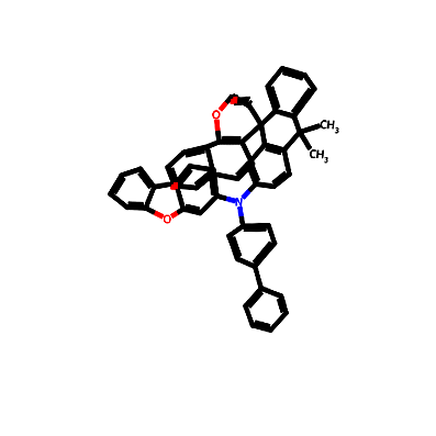 CC1(C)c2ccccc2C2(c3ccccc3Oc3c2ccc2ccccc32)c2cc(N(c3ccc(-c4ccccc4)cc3)c3ccc4c(c3)oc3ccccc34)ccc21